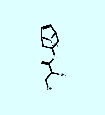 CN1C2C=CC1CC(OC(=O)C(N)CO)C2